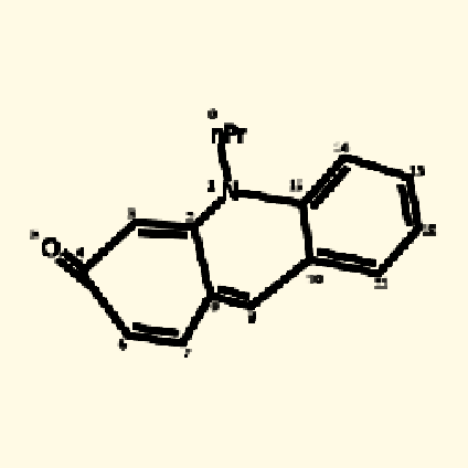 CCCn1c2cc(=O)ccc-2cc2ccccc21